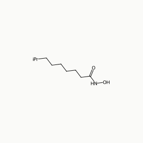 CC(C)CCCCCCC(=O)NO